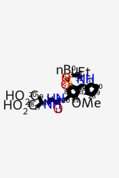 CCCC[C@]1(CC)CS(=O)(=O)c2cc(CNC(=O)CNC(CC(=O)O)CC(=O)O)c(OC)cc2[C@@H](c2ccccc2)N1